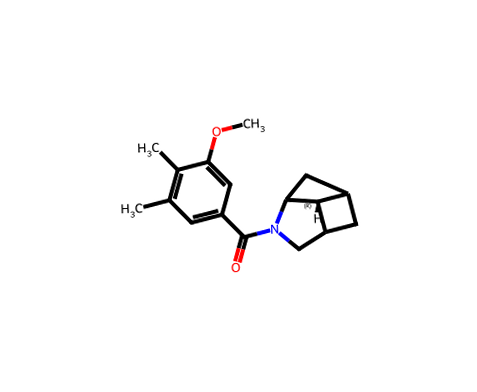 COc1cc(C(=O)N2CC3CC4CC2[C@H]43)cc(C)c1C